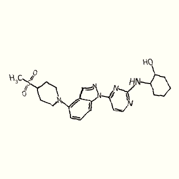 CS(=O)(=O)C1CCN(c2cccc3c2cnn3-c2ccnc(NC3CCCCC3O)n2)CC1